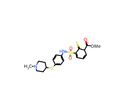 COC(=O)C1C=CC=C(S(=O)(=O)Nc2ccc(SC3CCN(C)CC3)cc2)C1=S